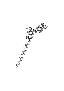 CCCCCCCCCCCCCCCCCC(=O)Oc1ccc(O)c(N=Nc2ccc([N+](=O)[O-])cc2)c1